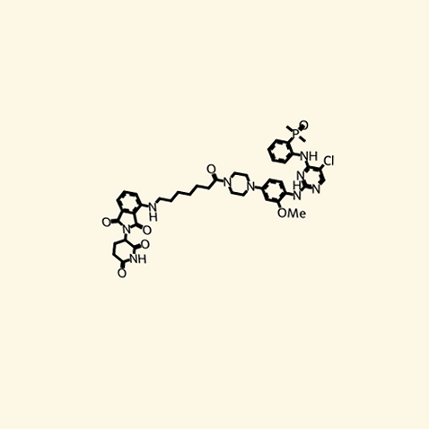 COc1cc(N2CCN(C(=O)CCCCCCNc3cccc4c3C(=O)N(C3CCC(=O)NC3=O)C4=O)CC2)ccc1Nc1ncc(Cl)c(Nc2ccccc2P(C)(C)=O)n1